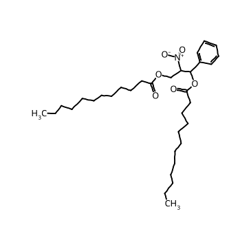 CCCCCCCCCCCC(=O)OCC(C(OC(=O)CCCCCCCCCCC)c1ccccc1)[N+](=O)[O-]